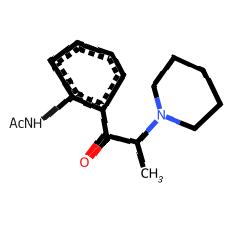 CC(=O)Nc1ccccc1C(=O)C(C)N1CCCCC1